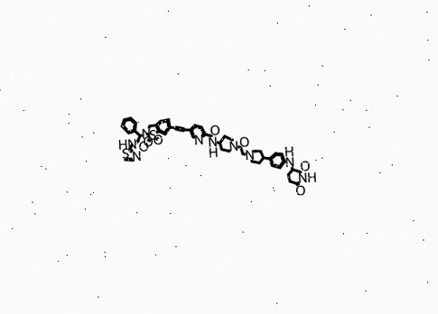 O=C1CCC(Nc2ccc(C3CCN(CC(=O)N4CCC(NC(=O)c5ccc(C#Cc6ccc7c(c6)S(=O)(=O)N(C(C(=O)Nc6nccs6)c6ccccc6)C7)cn5)CC4)CC3)cc2)C(=O)N1